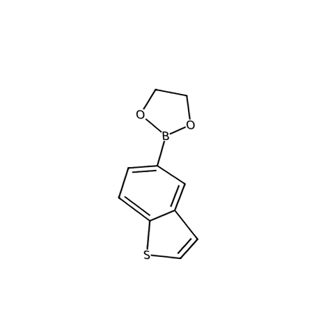 c1cc2cc(B3OCCO3)ccc2s1